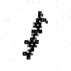 CC(C)Oc1ccc(C(=O)NCCCOc2c(Cl)cc(OCC=C(Cl)Cl)cc2Cl)cc1